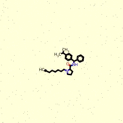 C#CCCCCCCN1CCCC1C(=O)NC(c1ccccc1)c1ccc(C(C)C)cc1